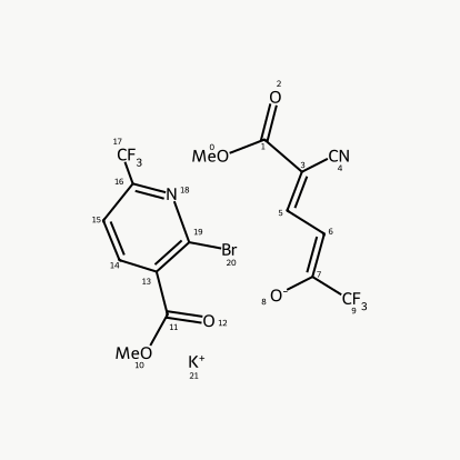 COC(=O)C(C#N)=CC=C([O-])C(F)(F)F.COC(=O)c1ccc(C(F)(F)F)nc1Br.[K+]